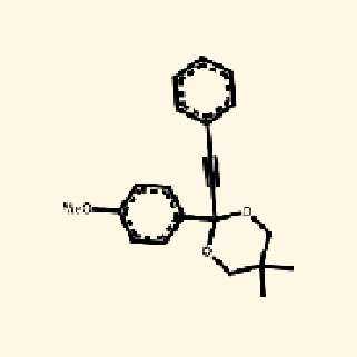 COc1ccc(C2(C#Cc3ccccc3)OCC(C)(C)CO2)cc1